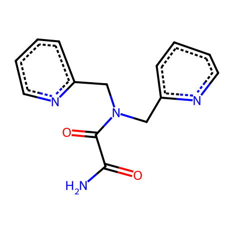 NC(=O)C(=O)N(Cc1ccccn1)Cc1ccccn1